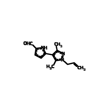 C=CCn1nc(C)c(-c2ccc(C=O)[nH]2)c1C